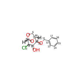 O[C@@H]1[C@@H](Cl)[C@@H]2OC[C@@H](O2)[C@H]1OCc1ccccc1